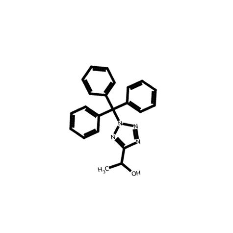 CC(O)c1nnn(C(c2ccccc2)(c2ccccc2)c2ccccc2)n1